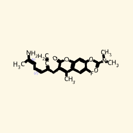 C=C=C(/C=C\C=C(/C)N)Cc1c(C)c2cc(F)c(OC(=O)N(C)C)cc2oc1=O